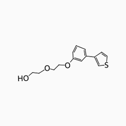 OCCOCCOc1cccc(-c2ccsc2)c1